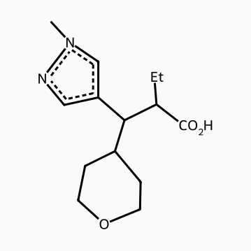 CCC(C(=O)O)C(c1cnn(C)c1)C1CCOCC1